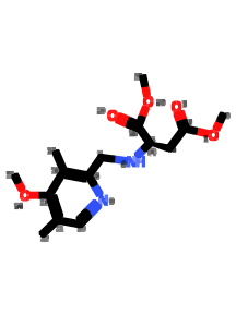 COC(=O)C[C@@H](NCc1ncc(C)c(OC)c1C)C(=O)OC